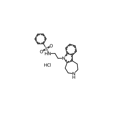 Cl.O=S(=O)(NCCn1c2c(c3ccccc31)CCNCC2)c1ccccc1